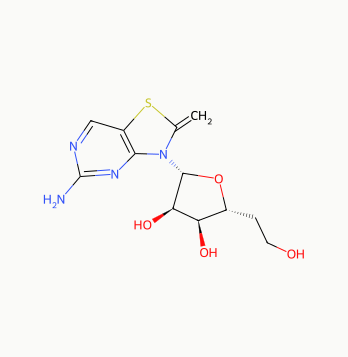 C=C1Sc2cnc(N)nc2N1[C@@H]1O[C@H](CCO)[C@@H](O)[C@H]1O